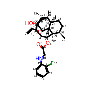 C=C[C@]1(C)C[C@@H](OC(=O)CNc2ccccc2F)[C@]2(C)[C@H](C)CC[C@@H]3[C@@H](CCC(=O)[C@H]32)[C@@H](C)[C@@H]1O